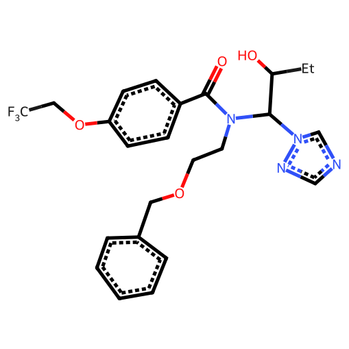 CCC(O)C(N(CCOCc1ccccc1)C(=O)c1ccc(OCC(F)(F)F)cc1)n1cncn1